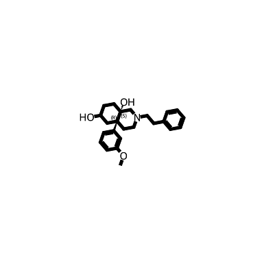 COc1cccc([C@]23CCN(CCc4ccccc4)C[C@]2(O)CCC(O)C3)c1